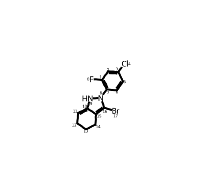 Fc1cc(Cl)ccc1N1NC2=CCCCC2=C1Br